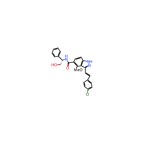 COc1c(C(=O)N[C@H](CO)c2ccccc2)ccc2[nH]nc(/C=C/c3ccc(Cl)cc3)c12